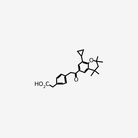 CC1(C)CC(C)(C)c2cc(C(=O)Cc3ccc(CC(=O)O)cc3)cc(C3CC3)c2O1